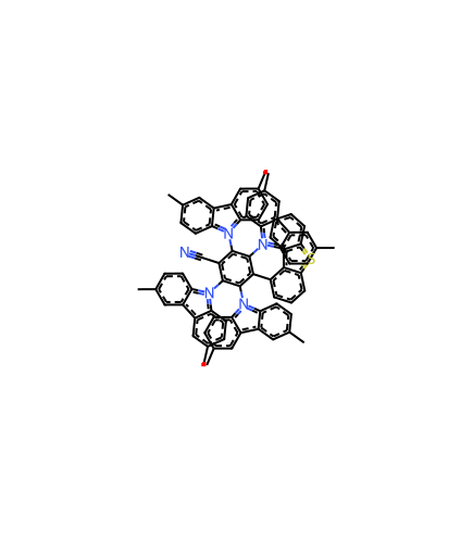 Cc1ccc2c(c1)c1cc(C)ccc1n2-c1c(C#N)c(-n2c3ccc(C)cc3c3cc(C)ccc32)c(-n2c3ccc(C)cc3c3cc(C)ccc32)c(-c2cccc3sc4ccccc4c23)c1-n1c2ccc(C)cc2c2cc(C)ccc21